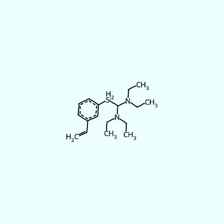 C=Cc1cccc([SiH2]C(N(CC)CC)N(CC)CC)c1